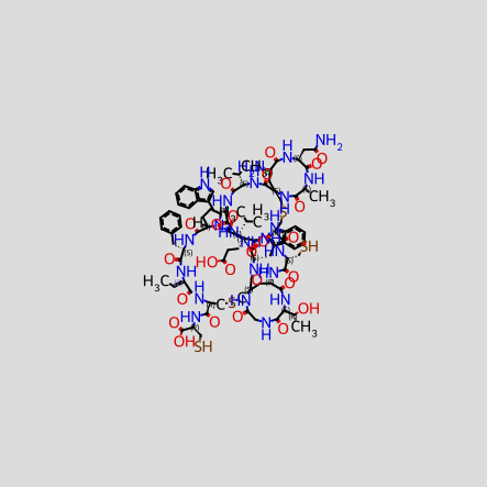 C/C=C1\NC(=O)[C@H](Cc2ccccc2)NC(=O)[C@@H]2CCCN2C(=O)[C@H](C(C)C)NC(=O)[C@H](Cc2c[nH]c3ccccc23)NC(=O)[C@]2(CSC[C@@H](C(=O)N[C@@H](CS)C(=O)O)NC1=O)C[C@H](NC(=O)[C@@H](CS)NC(=O)[C@@H]1CSC[C@]3(C[C@H](N)C(=O)N[C@@H](CC(N)=O)C(=O)N[C@@H](C)C(=O)N3)C(=O)N[C@@H](C(C)C)C(=O)N[C@@H](Cc3c[nH]c4ccccc34)C(=O)N[C@@H](CCC(=O)O)C(=O)N1)C(=O)N[C@@H]([C@@H](C)O)C(=O)NCC(=O)N2